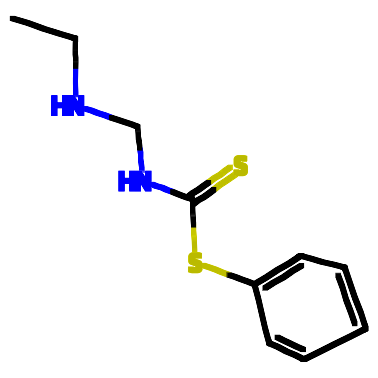 CCNCNC(=S)Sc1ccccc1